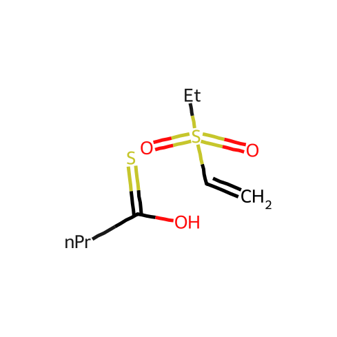 C=CS(=O)(=O)CC.CCCC(O)=S